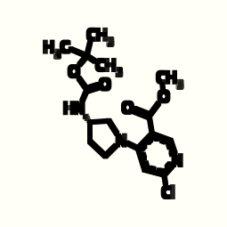 COC(=O)c1cnc(Cl)cc1N1CC[C@H](NC(=O)OC(C)(C)C)C1